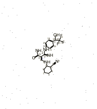 N#CC1CCCCC1N/C=C(\C(=N)Nc1ccc(C(O)C(F)(F)F)cc1)C(N)=O